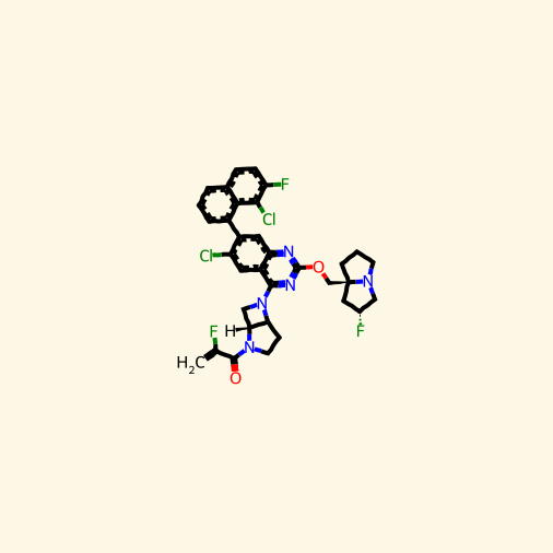 C=C(F)C(=O)N1CCC2[C@H]1CN2c1nc(OC[C@@]23CCCN2C[C@H](F)C3)nc2cc(-c3cccc4ccc(F)c(Cl)c34)c(Cl)cc12